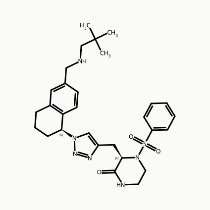 CC(C)(C)CNCc1ccc2c(c1)CCC[C@@H]2n1cc(C[C@@H]2C(=O)NCCN2S(=O)(=O)c2ccccc2)nn1